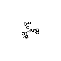 c1ccc2c(c1)-c1cc(N(c3ccc(-c4cccc5ccccc45)cc3)c3ccc4c(c3)-c3ccccc3C43C4CCC5CC(C4)CC3C5)ccc1C21CCCC1